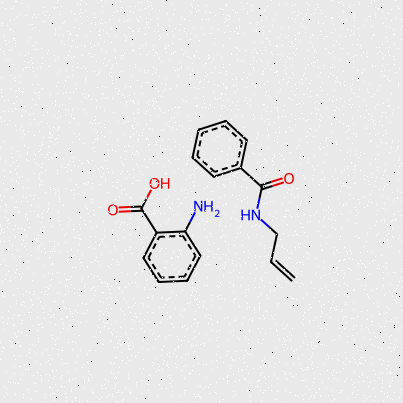 C=CCNC(=O)c1ccccc1.Nc1ccccc1C(=O)O